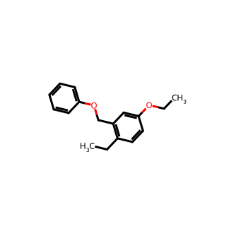 CCOc1ccc(CC)c(COc2ccccc2)c1